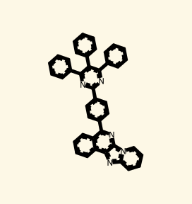 c1ccc(-c2nc(-c3ccc(-c4nc5c(nc6ccccn65)c5ccccc45)cc3)nc(-c3ccccc3)c2-c2ccccc2)cc1